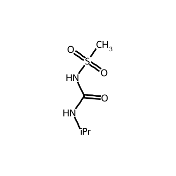 CC(C)NC(=O)NS(C)(=O)=O